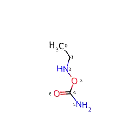 CCNOC(N)=O